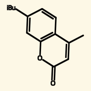 CCC(C)c1ccc2c(C)cc(=O)oc2c1